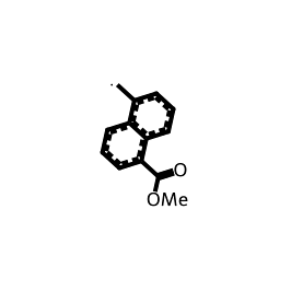 [CH2]c1cccc2c(C(=O)OC)cccc12